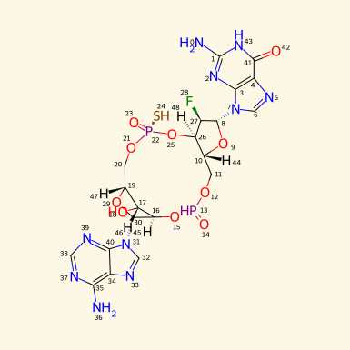 Nc1nc2c(ncn2[C@@H]2O[C@@H]3CO[PH](=O)O[C@@H]4[C@H](O)[C@@H](CO[P@@](=O)(S)O[C@H]3[C@H]2F)O[C@H]4n2cnc3c(N)ncnc32)c(=O)[nH]1